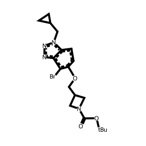 CC(C)(C)OC(=O)N1CC(COc2ccc3c(nnn3CC3CC3)c2Br)C1